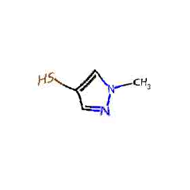 Cn1cc(S)cn1